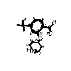 CC(C)(C)c1ccc(C(=O)Cl)c(OC2CCNCC2)c1